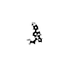 COc1cccc(-c2cccn3c(C4CCCN4C(=O)C4CC4C(=O)O)ncc23)c1